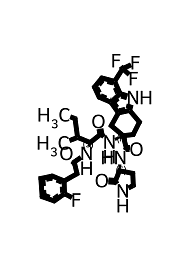 CCC(C)[C@H](NC(=O)Cc1ccccc1F)C(=O)N[C@]1(C(=O)N[C@H]2CCNC2=O)CCc2[nH]c3c(C(F)(F)F)cccc3c2C1